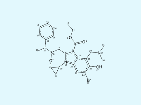 CCOC(=O)c1c(C[S+]([O-])C(C)c2ccccc2)n(C2CC2)c2cc(Br)c(O)c(CN(C)C)c12